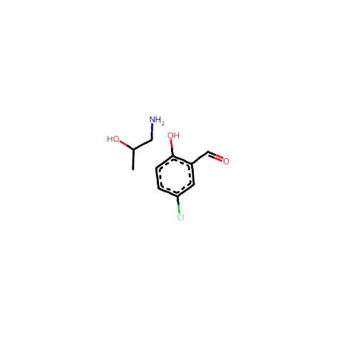 CC(O)CN.O=Cc1cc(Cl)ccc1O